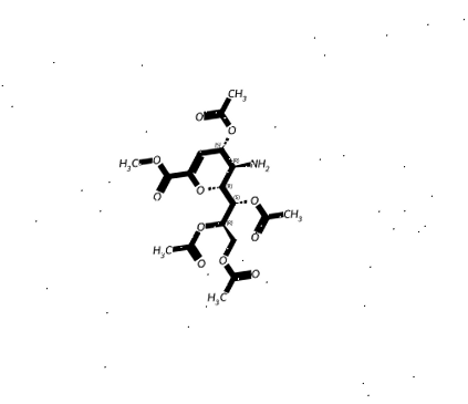 COC(=O)C1=C[C@H](OC(C)=O)[C@@H](N)[C@H]([C@H](OC(C)=O)[C@@H](COC(C)=O)OC(C)=O)O1